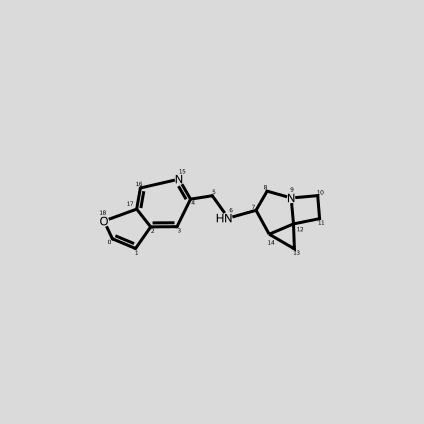 c1cc2cc(CNC3CN4CCC45CC35)ncc2o1